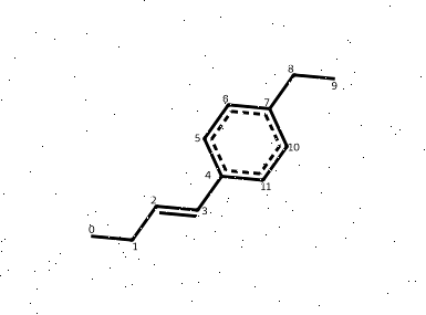 CCC=Cc1ccc(CC)cc1